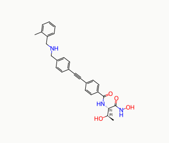 Cc1ccccc1CNCc1ccc(C#Cc2ccc(C(=O)N[C@H](C(=O)NO)[C@@H](C)O)cc2)cc1